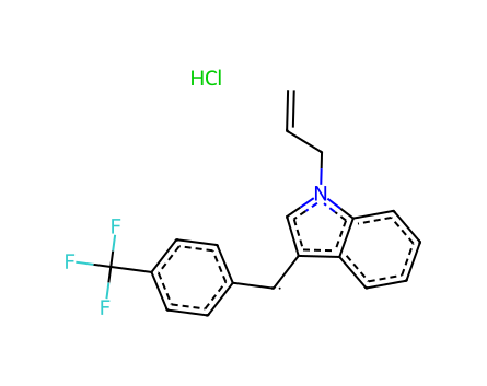 C=CCn1cc([CH]c2ccc(C(F)(F)F)cc2)c2ccccc21.Cl